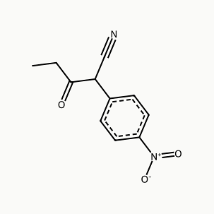 CCC(=O)C(C#N)c1ccc([N+](=O)[O-])cc1